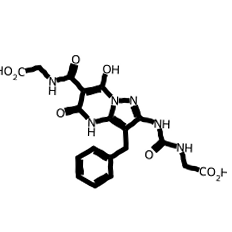 O=C(O)CNC(=O)Nc1nn2c(O)c(C(=O)NCC(=O)O)c(=O)[nH]c2c1Cc1ccccc1